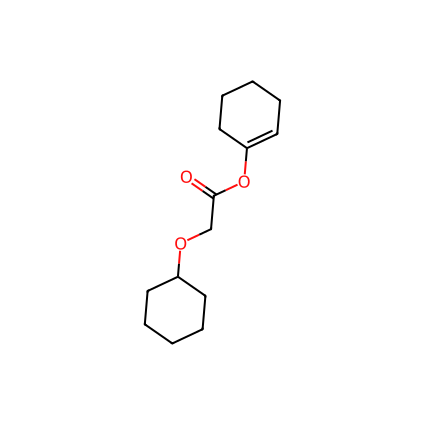 O=C(COC1CCCCC1)OC1=CCCCC1